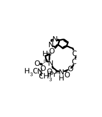 CC(C)[C@@H]1NC(=O)OCCCCCc2ccc3ncnc(c3c2)O[C@@H]2C[C@@H](C(=O)ON(C)C)N(C2)C1=O